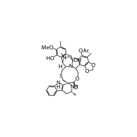 COc1c(C)cc2c(c1O)C1[C@@H]3CSC[C@]4(N[C@@H](C)Cc5c4[nH]c4ccccc54)C(=O)OCC(c4c(C)c(OC(C)=O)c(C)c5c4OCO5)N3C(O)(C2)CN1C